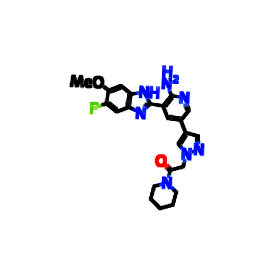 COc1cc2[nH]c(-c3cc(-c4cnn(CC(=O)N5CCCCC5)c4)cnc3N)nc2cc1F